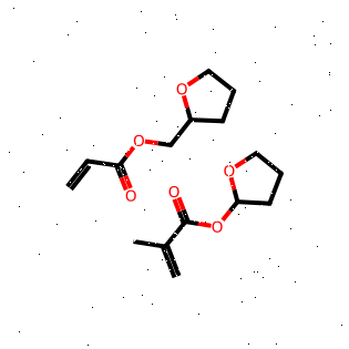 C=C(C)C(=O)OC1CCCO1.C=CC(=O)OCC1CCCO1